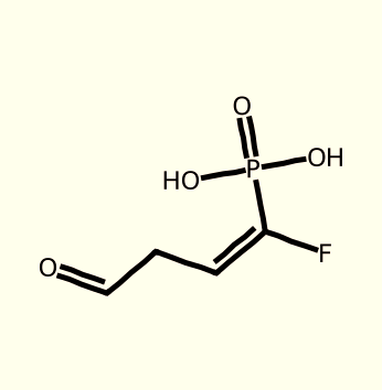 O=CCC=C(F)P(=O)(O)O